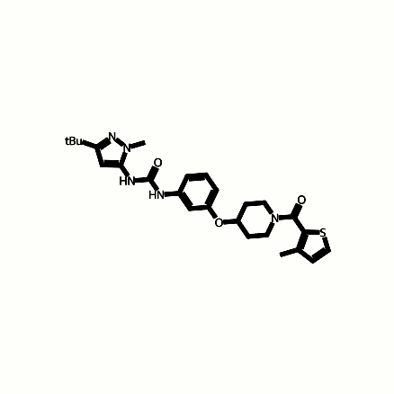 Cc1ccsc1C(=O)N1CCC(Oc2cccc(NC(=O)Nc3cc(C(C)(C)C)nn3C)c2)CC1